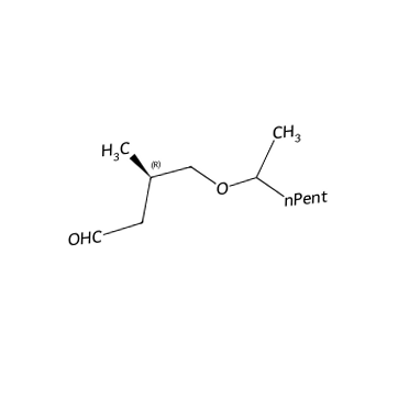 CCCCCC(C)OC[C@H](C)CC=O